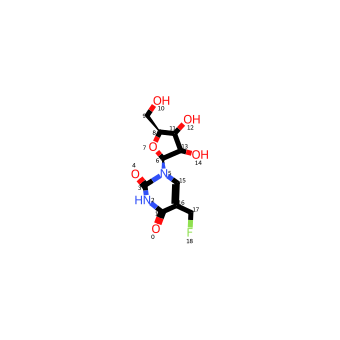 O=c1[nH]c(=O)n([C@H]2O[C@@H](CO)C(O)C2O)cc1CF